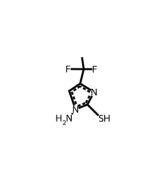 CC(F)(F)c1cn(N)c(S)n1